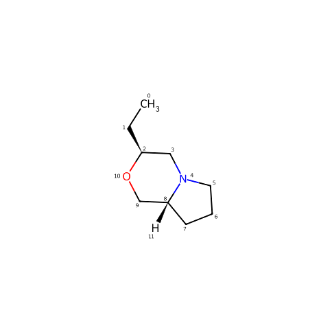 CC[C@H]1CN2CCC[C@@H]2CO1